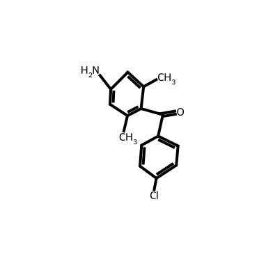 Cc1cc(N)cc(C)c1C(=O)c1ccc(Cl)cc1